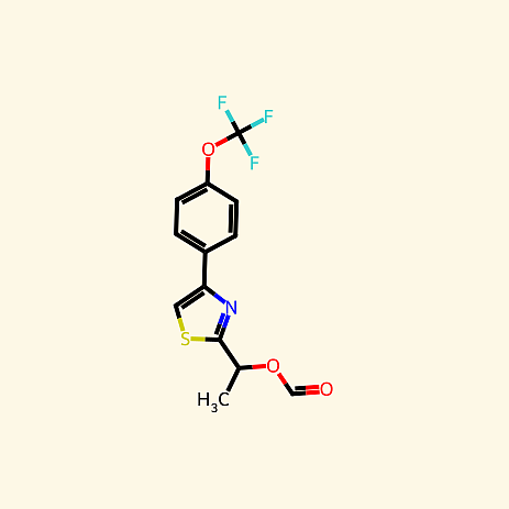 CC(OC=O)c1nc(-c2ccc(OC(F)(F)F)cc2)cs1